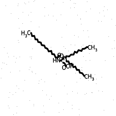 CCCCCCCCCCCCCCCCCC(=O)N[C@@H](CCC(=O)O)C(=O)N(CCCCCCCCCCCC)CCCCCCCCCCCC